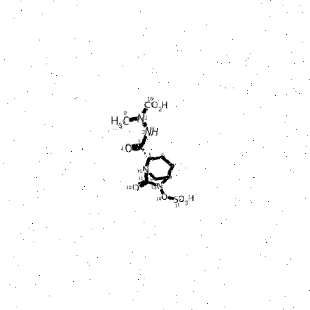 CN(NC(=O)[C@@H]1CCC2CN1C(=O)N2OS(=O)(=O)O)C(=O)O